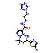 Cc1cnc(C2CC(C)(C)n3ncc(C(=O)NCCCn4ccnc4)c3N2)s1